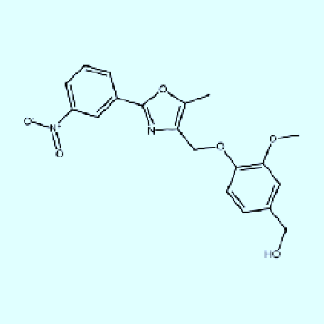 COc1cc(CO)ccc1OCc1nc(-c2cccc([N+](=O)[O-])c2)oc1C